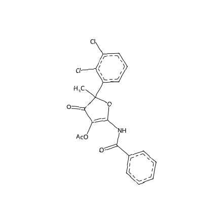 CC(=O)OC1=C(NC(=O)c2ccccc2)OC(C)(c2cccc(Cl)c2Cl)C1=O